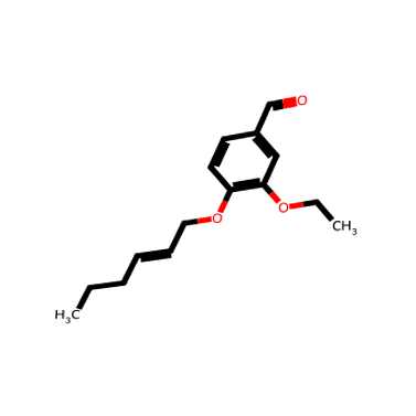 CCCC=CCOc1ccc(C=O)cc1OCC